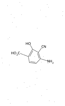 N#Cc1c(N)ccc(C(=O)O)c1O